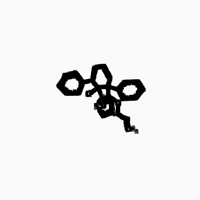 C=CCOC(=O)C1(c2ccccc2)C=CC=C(c2ccccc2)C1(Cl)n1cncn1